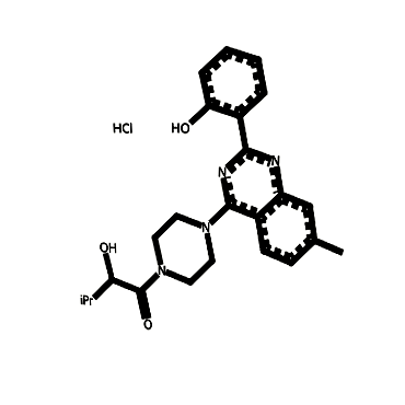 Cc1ccc2c(N3CCN(C(=O)C(O)C(C)C)CC3)nc(-c3ccccc3O)nc2c1.Cl